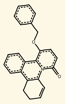 O=c1ccc(OCc2ccccc2)c2c3ccccc3c3c(n12)C=CCC3